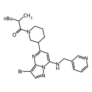 CCCCC(C)C(=O)N1CCCC(c2cc(NCc3cccnc3)n3ncc(Br)c3n2)C1